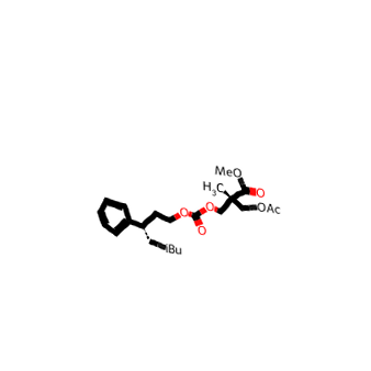 CCC(C)C[C@@H](CCOC(=O)OC[C@@](C)(COC(C)=O)C(=O)OC)c1ccccc1